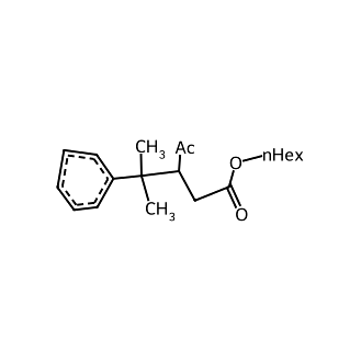 CCCCCCOC(=O)CC(C(C)=O)C(C)(C)c1ccccc1